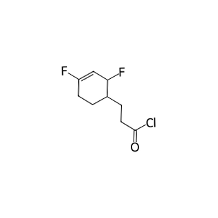 O=C(Cl)CCC1CCC(F)=CC1F